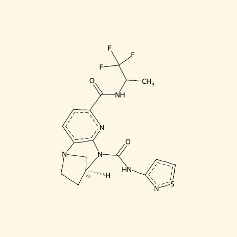 CC(NC(=O)c1ccc2c(n1)N(C(=O)Nc1ccsn1)[C@H]1CCN2C1)C(F)(F)F